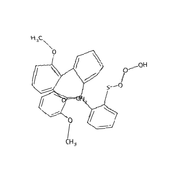 COc1ccccc1P(c1ccccc1SOOO)c1ccccc1-c1c(OC)cccc1OC